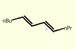 CCC/[C]=C/C=CCCCC